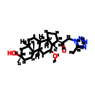 CO[C@@H]1C[C@H]2[C@@H](CC[C@H]3C[C@](C)(O)CC[C@@]32C)[C@@H]2CC[C@H](C(=O)Cn3nnnc3C)[C@@]12C